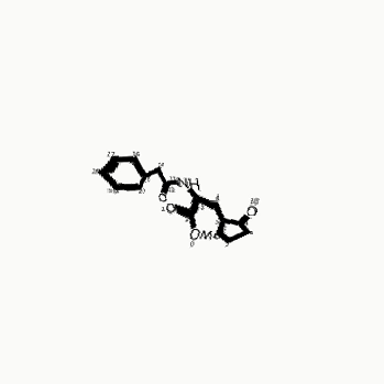 COC(=O)C(CC1CCCC1=O)NC(=O)Cc1ccccc1